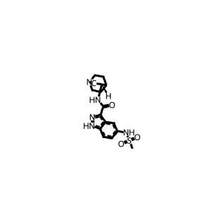 CS(=O)(=O)Nc1ccc2[nH]nc(C(=O)N[C@@H]3CN4CCC3CC4)c2c1